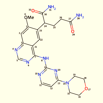 COc1cc2ncnc(Nc3nccc(N4CCOCC4)n3)c2cc1C(CCC(N)=O)C(N)=O